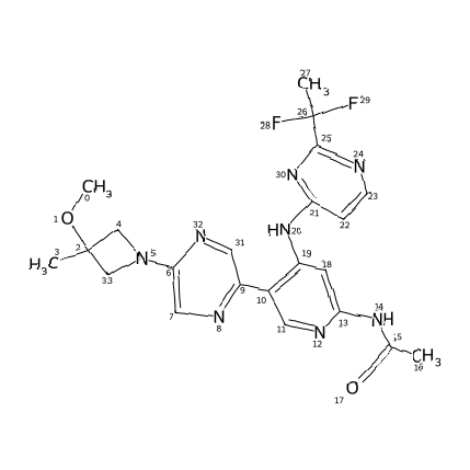 COC1(C)CN(c2cnc(-c3cnc(NC(C)=O)cc3Nc3ccnc(C(C)(F)F)n3)cn2)C1